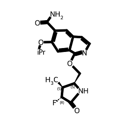 CC(C)Oc1cc2c(OC[C@H]3NC(=O)[C@H](F)[C@H]3C)nccc2cc1C(N)=O